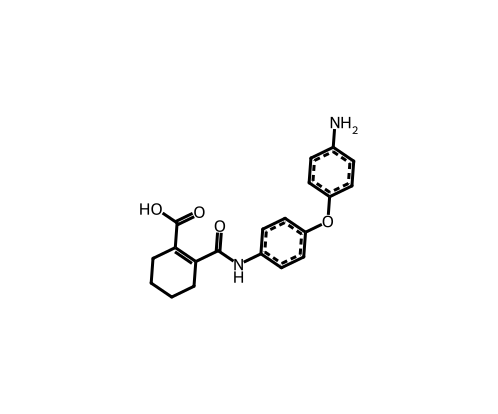 Nc1ccc(Oc2ccc(NC(=O)C3=C(C(=O)O)CCCC3)cc2)cc1